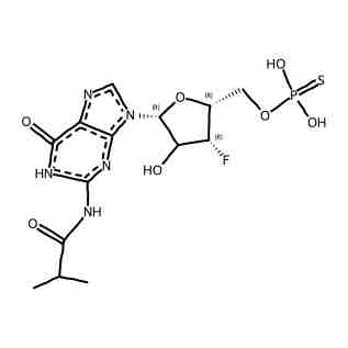 CC(C)C(=O)Nc1nc2c(ncn2[C@@H]2O[C@H](COP(O)(O)=S)[C@H](F)C2O)c(=O)[nH]1